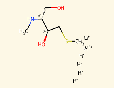 CN[C@H](CO)[C@H](O)CSC.[Al+3].[H-].[H-].[H-].[H-].[Li+]